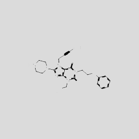 CC#CCn1c(N2CCNCC2)nc2c1c(=O)n(CCOc1ccccc1)c(=O)n2CC(=O)O